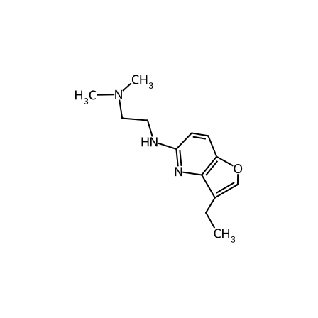 CCc1coc2ccc(NCCN(C)C)nc12